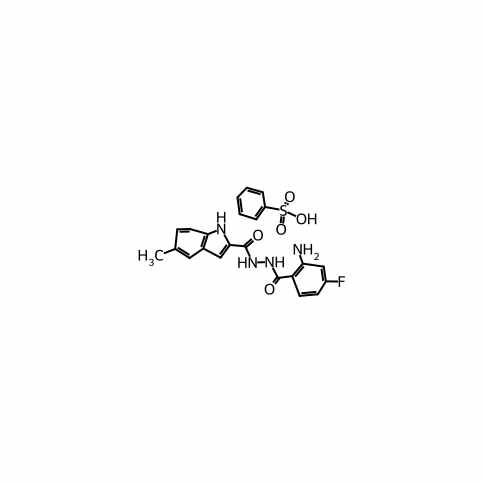 Cc1ccc2[nH]c(C(=O)NNC(=O)c3ccc(F)cc3N)cc2c1.O=S(=O)(O)c1ccccc1